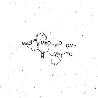 COC(=O)C1=C(C(=O)OC)C2(C(Cc3cccc(OC)c3)Nc3ccccc3)C=CC1O2